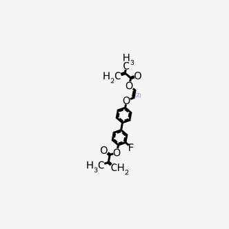 C=C(C)C(=O)O/C=C\Oc1ccc(-c2ccc(OC(=O)C(=C)C)c(F)c2)cc1